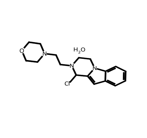 ClC1c2cc3ccccc3n2CCN1CCN1CCOCC1.O